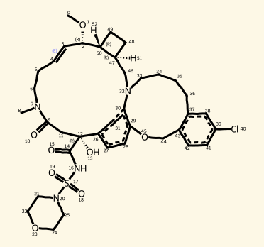 CO[C@H]1/C=C/CCN(C)C(=O)C[C@](O)(C(=O)NS(=O)(=O)N2CCOCC2)c2ccc3c(c2)N(CCCCc2cc(Cl)ccc2CO3)C[C@@H]2CC[C@H]21